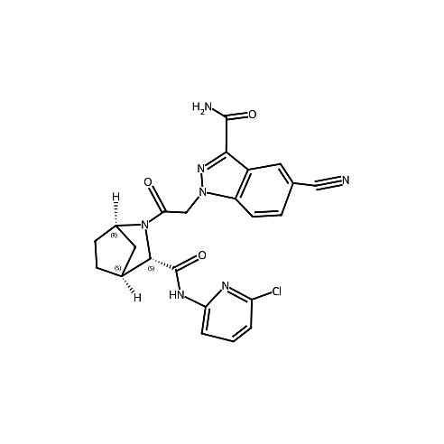 N#Cc1ccc2c(c1)c(C(N)=O)nn2CC(=O)N1[C@@H]2CC[C@@H](C2)[C@H]1C(=O)Nc1cccc(Cl)n1